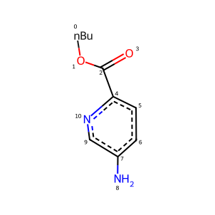 CCCCOC(=O)c1ccc(N)cn1